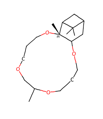 CC1COCCCO[C@@]2(C)C(CC3CC2C3(C)C)OCCCO1